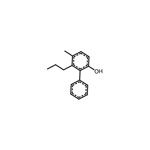 CCCc1c(C)ccc(O)c1-c1ccccc1